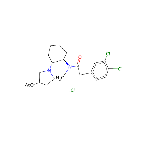 CC(=O)OC1CCN([C@@H]2CCCC[C@H]2N(C)C(=O)Cc2ccc(Cl)c(Cl)c2)C1.Cl